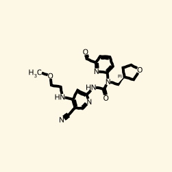 COCCNc1cc(NC(=O)N(C[C@H]2CCOC2)c2cccc(C=O)n2)ncc1C#N